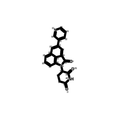 O=C1CCC(N2C(=O)c3cc(-c4cccnc4)cc4cccc2c34)C(=O)N1